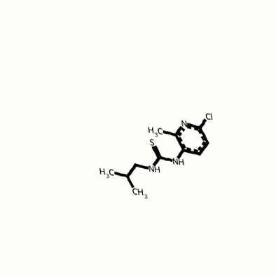 Cc1nc(Cl)ccc1NC(=S)NCC(C)C